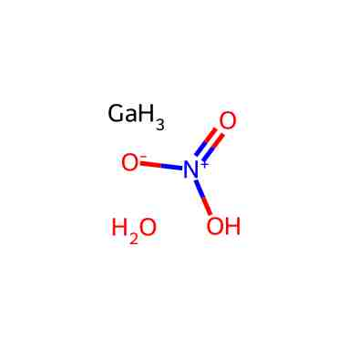 O.O=[N+]([O-])O.[GaH3]